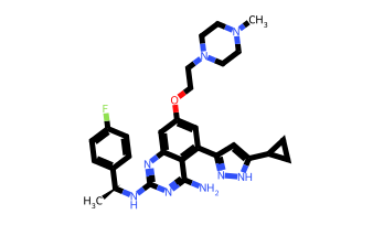 C[C@H](Nc1nc(N)c2c(-c3cc(C4CC4)[nH]n3)cc(OCCN3CCN(C)CC3)cc2n1)c1ccc(F)cc1